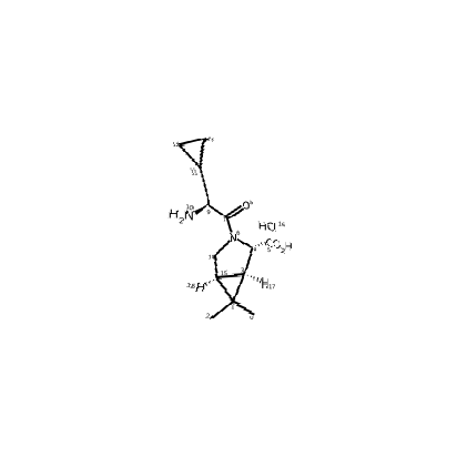 CC1(C)[C@@H]2[C@@H](C(=O)O)N(C(=O)[C@@H](N)C3CC3)C[C@@H]21.Cl